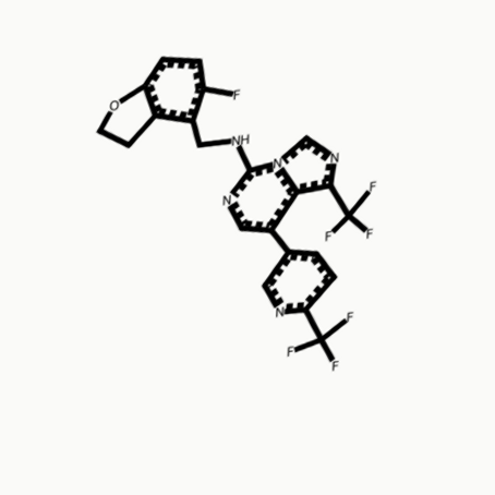 Fc1ccc2c(c1CNc1ncc(-c3ccc(C(F)(F)F)nc3)c3c(C(F)(F)F)ncn13)CCO2